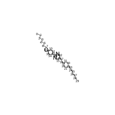 CCCCCCCCOc1ccc(-c2ncc(CCC3CCC(CCCCCCC)CC3)cn2)cc1